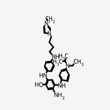 CCN(c1ccc(Nc2cc(Nc3ccc(NCCCCn4cc[n+](C)c4)cc3)c(O)cc2N)cc1)C(C)C